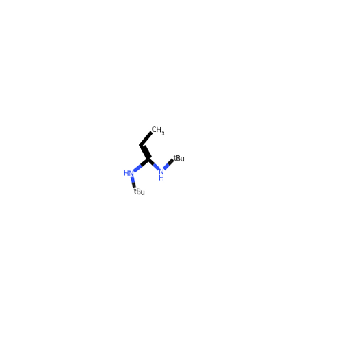 CC=C(NC(C)(C)C)NC(C)(C)C